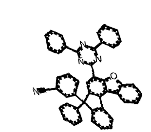 N#Cc1cccc(C2(c3ccccc3)c3ccccc3-c3c2cc(-c2nc(-c4ccccc4)nc(-c4ccccc4)n2)c2oc4ccccc4c32)c1